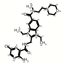 CCn1c(CNC(=O)c2nc(Cl)cnc2N)[n+](CC)c2ccc(C(=O)N(C)CCN3CCOCC3)cc21